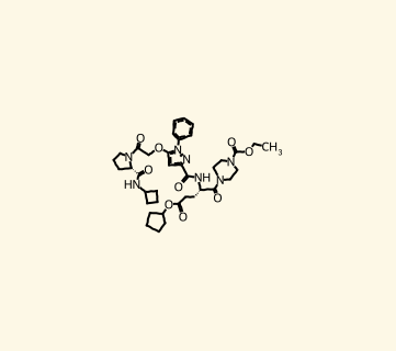 CCOC(=O)N1CCN(C(=O)[C@H](CCC(=O)OC2CCCC2)NC(=O)c2cc(OCC(=O)N3CCC[C@H]3C(=O)NC3CCC3)n(-c3ccccc3)n2)CC1